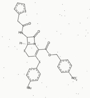 CC(C)(C)c1ccc(SC2=C(C(=O)OCc3ccc([N+](=O)[O-])cc3)N3C(=O)C(NC(=O)Cc4cccs4)[C@@H]3SC2)cc1